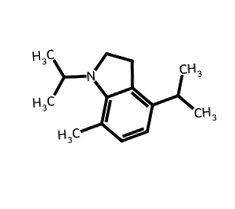 Cc1ccc(C(C)C)c2c1N(C(C)C)CC2